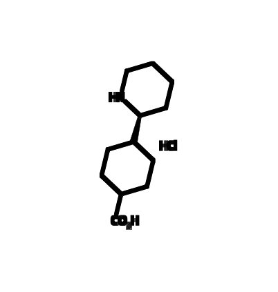 Cl.O=C(O)C1CCC([C@@H]2CCCCN2)CC1